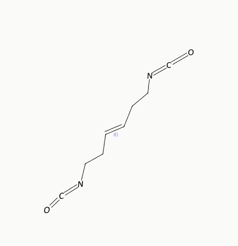 O=C=NCC/C=C/CCN=C=O